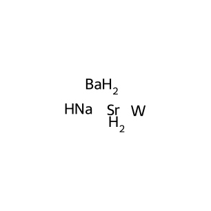 [BaH2].[NaH].[SrH2].[W]